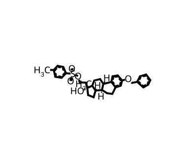 Cc1ccc(S(=O)(=O)OCC[C@]2(O)CC[C@H]3[C@@H]4CCc5cc(OCc6ccccc6)ccc5[C@H]4CC[C@@]32C)cc1